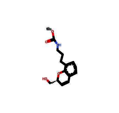 CC(C)(C)OC(=O)NCCCc1cccc2c1O[C@@H](CO)C=C2